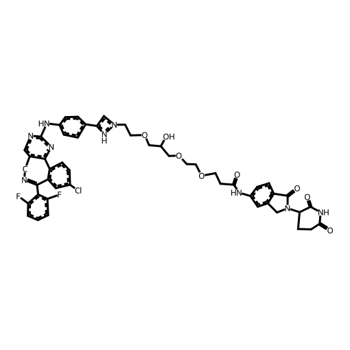 O=C1CCC(N2Cc3cc(NC(=O)CCOCCOCC(O)COCCn4cc(-c5ccc(Nc6ncc7c(n6)-c6ccc(Cl)cc6C(c6c(F)cccc6F)=NC7)cc5)[nH]4)ccc3C2=O)C(=O)N1